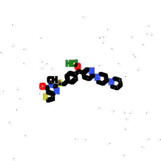 Cl.Cn1c(SCc2ccc(C(=O)c3ccc(N4CCC(N5CCCCC5)CC4)nc3)cc2)nc2ccsc2c1=O